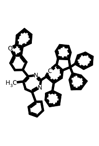 CC1=C(C2C=c3c(oc4ccccc34)=CC2)N=C(c2cc3c(cc2-c2ccccc2)C(c2ccccc2)(c2ccccc2)c2ccccc2-3)N=C(C2=CC=CCC2)C1